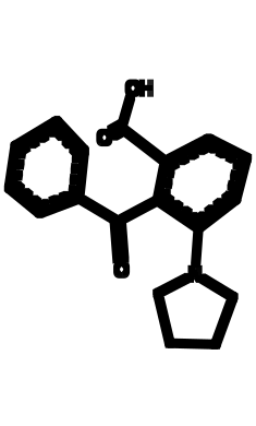 O=C(O)c1cccc(N2CCCC2)c1C(=O)c1ccccc1